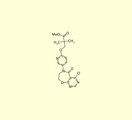 COC(=O)C(C)(C)COc1ccc(N2CCOc3ncnc(Cl)c3C2=O)cn1